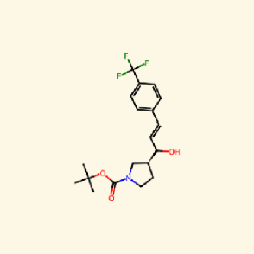 CC(C)(C)OC(=O)N1CC[C@H](C(O)/C=C/c2ccc(C(F)(F)F)cc2)C1